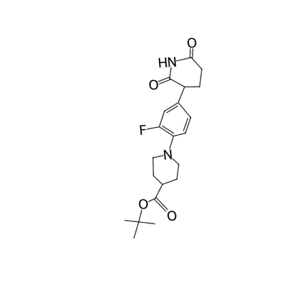 CC(C)(C)OC(=O)C1CCN(c2ccc(C3CCC(=O)NC3=O)cc2F)CC1